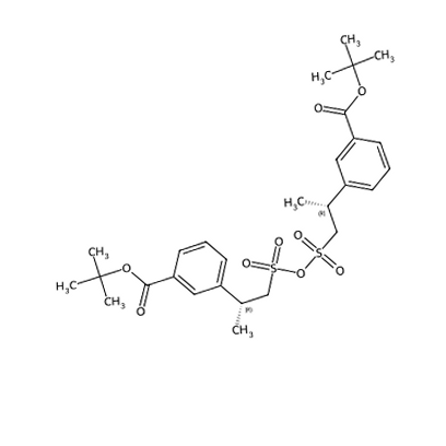 C[C@@H](CS(=O)(=O)OS(=O)(=O)C[C@H](C)c1cccc(C(=O)OC(C)(C)C)c1)c1cccc(C(=O)OC(C)(C)C)c1